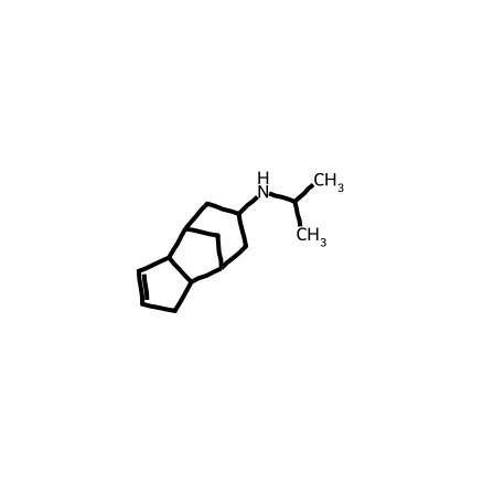 CC(C)NC1CC2CC(C1)C1CC=CC21